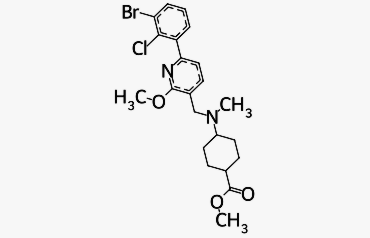 COC(=O)C1CCC(N(C)Cc2ccc(-c3cccc(Br)c3Cl)nc2OC)CC1